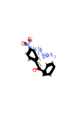 NN.O=C(c1ccccc1)c1ccc([N+](=O)[O-])cc1